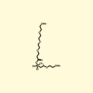 CCP(C)(CC)(CCOCCOC)OC(=O)CCOCCOCCOCCOC